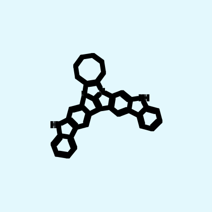 c1ccc2c(c1)[nH]c1cc3c(cc12)c1c2cc4c(cc2n2c5c(n3c12)CCCCCC5)[nH]c1ccccc14